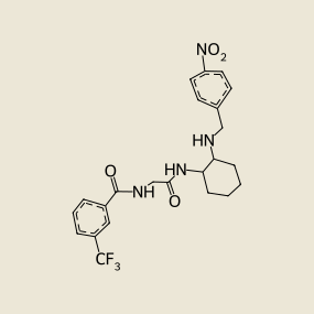 O=C(CNC(=O)c1cccc(C(F)(F)F)c1)NC1CCCCC1NCc1ccc([N+](=O)[O-])cc1